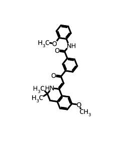 COc1ccc2c(c1)/C(=C/C(=O)c1cccc(C(=O)Nc3ccccc3OC)c1)NC(C)(C)C2